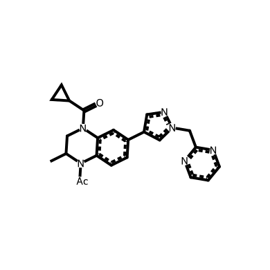 CC(=O)N1c2ccc(-c3cnn(Cc4ncccn4)c3)cc2N(C(=O)C2CC2)CC1C